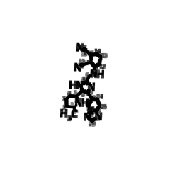 CC1C=CC=C(c2[nH]c(CNc3cccc(C#N)c3C#N)nc2-c2ccc3ncnn3c2)N1